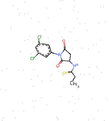 CCC(=S)NC1CC(=O)N(c2cc(Cl)cc(Cl)c2)C1=O